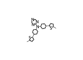 Cc1ccc(-c2ccc(N(c3ccc(-c4ccc(C)s4)cc3)c3ncncn3)cc2)s1